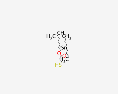 CC(C)CCCCCOC(=O)CCS.CCC[CH2][Sn][CH2]CCC